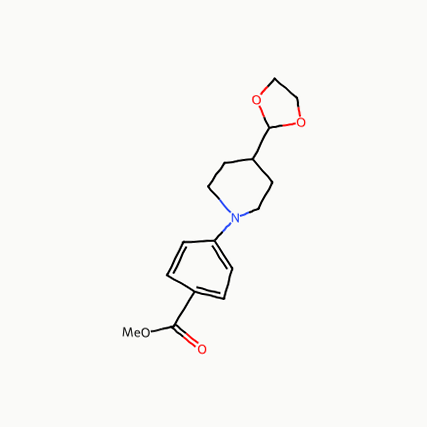 COC(=O)c1ccc(N2CCC(C3OCCO3)CC2)cc1